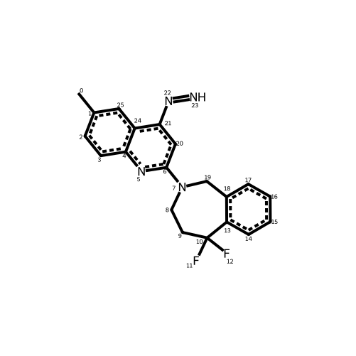 Cc1ccc2nc(N3CCC(F)(F)c4ccccc4C3)cc(N=N)c2c1